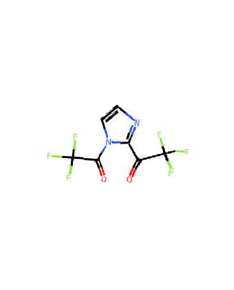 O=C(c1nccn1C(=O)C(F)(F)F)C(F)(F)F